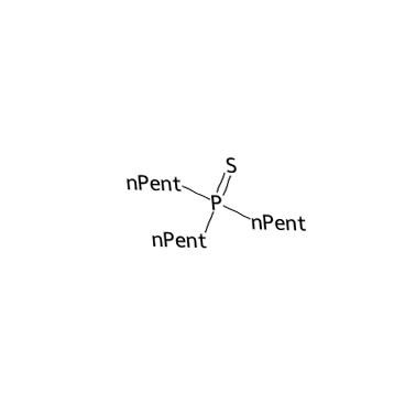 CCCCCP(=S)(CCCCC)CCCCC